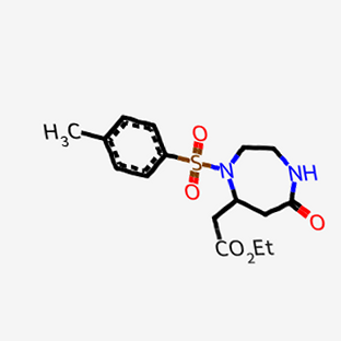 CCOC(=O)CC1CC(=O)NCCN1S(=O)(=O)c1ccc(C)cc1